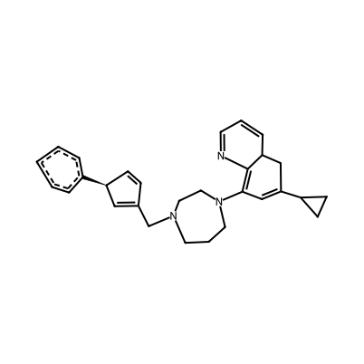 C1=CC2CC(C3CC3)=CC(N3CCCN(CC4=C[C@@H](c5ccccc5)C=C4)CC3)=C2N=C1